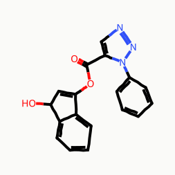 O=C(OC1=CC(O)c2ccccc21)c1cnnn1-c1ccccc1